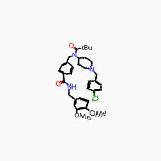 COc1ccc(CNC(=O)c2ccc(CN(C(=O)C(C)(C)C)C3CCN(Cc4ccc(Cl)cc4)CC3)cc2)cc1OC